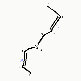 C/C=C\CS/C=C\C